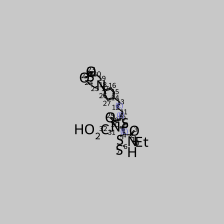 CCNC(=O)/C(SC=S)=c1\s/c(=C/C=C/c2ccc(N3CCS(=O)(=O)CC3)cc2)c(=O)n1CC(=O)O